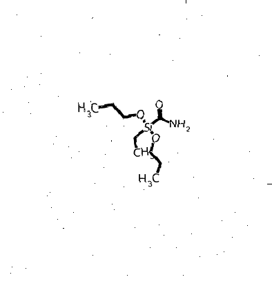 CCCO[Si](CC)(OCCC)C(N)=O